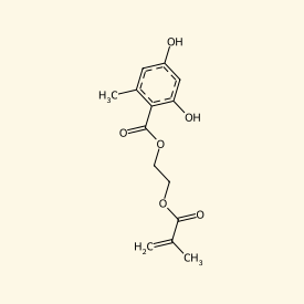 C=C(C)C(=O)OCCOC(=O)c1c(C)cc(O)cc1O